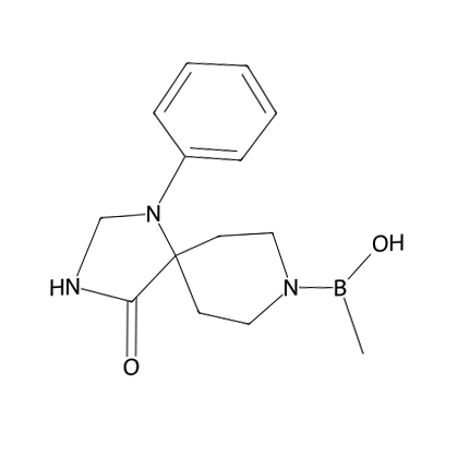 CB(O)N1CCC2(CC1)C(=O)NCN2c1ccccc1